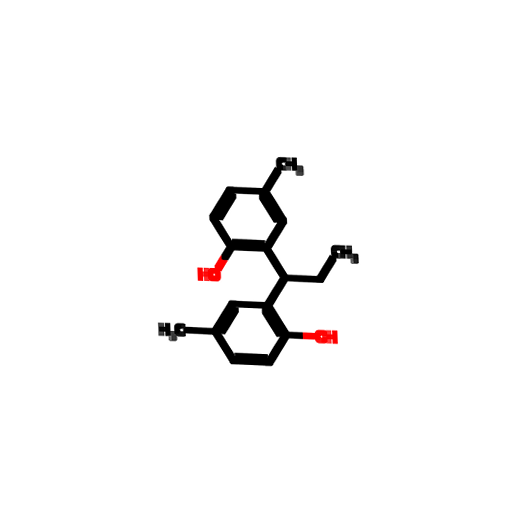 CCC(c1cc(C)ccc1O)c1cc(C)ccc1O